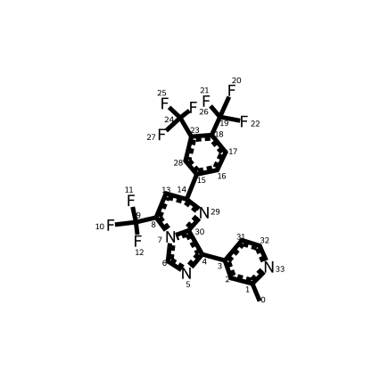 Cc1cc(-c2ncn3c(C(F)(F)F)cc(-c4ccc(C(F)(F)F)c(C(F)(F)F)c4)nc23)ccn1